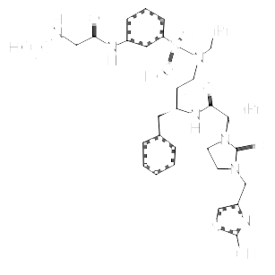 Cc1nc(CN2CCN([C@H](C(=O)N[C@@H](Cc3ccccc3)[C@H](O)CN(CC(C)C)S(=O)(=O)c3cccc(NC(=O)CNC(=O)O)c3)C(C)C)C2=O)cs1